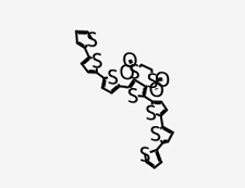 O=S1(=O)CCS(=O)(=O)c2c(-c3ccc(-c4ccc(-c5cccs5)s4)s3)sc(-c3ccc(-c4ccc(-c5cccs5)s4)s3)c21